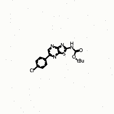 CC(C)(C)OC(=O)Nc1nc2ncc(-c3ccc(Cl)cc3)nc2s1